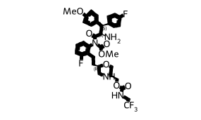 COC(=O)N(C(=O)[C@@H](N)[C@H](c1ccc(F)cc1)c1ccc(OC)cc1)c1cccc(F)c1CC[C@@H]1CN[C@H](COC(=O)NCC(F)(F)F)CO1